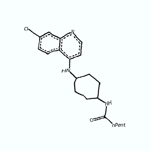 CCCCCC(=O)NC1CCC(Nc2ccnc3cc(Cl)ccc23)CC1